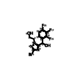 OCCn1nc(Br)nc1C(O)c1ccc(F)c(F)c1F